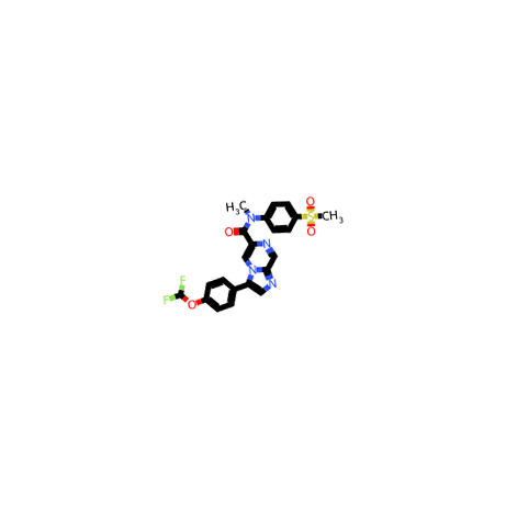 CN(C(=O)c1cn2c(-c3ccc(OC(F)F)cc3)cnc2cn1)c1ccc(S(C)(=O)=O)cc1